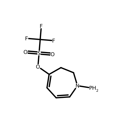 O=S(=O)(OC1=CC=CN(P)CC1)C(F)(F)F